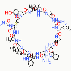 CCCC[C@H]1C(=O)N(C)[C@@H](CCCC)C(=O)N[C@@H](C)C(=O)N[C@H](C(=O)NCC(N)=O)CSCC(=O)N[C@@H](Cc2ccc(O)cc2)C(=O)N2CCC[C@H]2C(=O)N[C@@H](CC(=O)O)C(=O)N2CCC[C@H]2C(=O)N[C@@H](CN)C(=O)N[C@@H](CCC(=O)O)C(=O)N2CCC[C@H]2C(=O)N[C@@H](Cc2c[nH]c3ccccc23)C(=O)N[C@@H](CCN)C(=O)N[C@@H](Cc2c[nH]c3ccccc23)C(=O)N1C